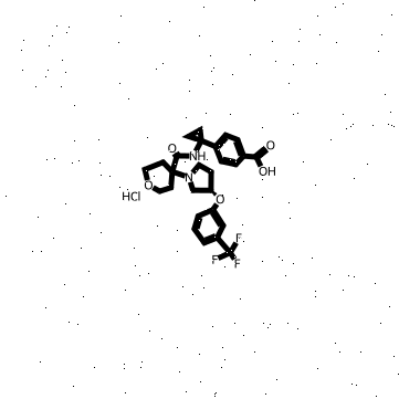 Cl.O=C(O)c1ccc(C2(NC(=O)C3(N4CC[C@@H](Oc5cccc(C(F)(F)F)c5)C4)CCOCC3)CC2)cc1